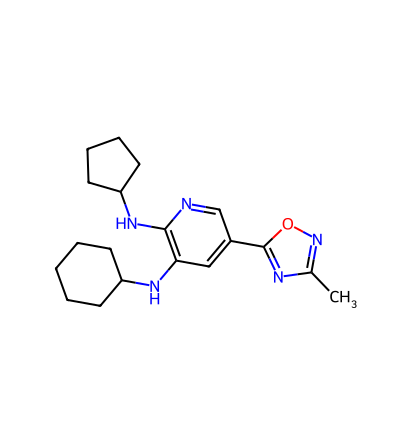 Cc1noc(-c2cnc(NC3CCCC3)c(NC3CCCCC3)c2)n1